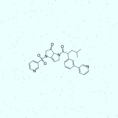 CC(C)CC(C(=O)N1CC=C2C1C(=O)CN2S(=O)(=O)c1cccnc1)c1cccc(-c2cccnc2)c1